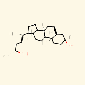 CC[C@]1(O)CC[C@@]2(C)C(=CC[C@H]3[C@@H]4CC[C@H]([C@H](C)CC[C@H](O)C(F)(F)F)[C@@]4(C)CC[C@@H]32)C1